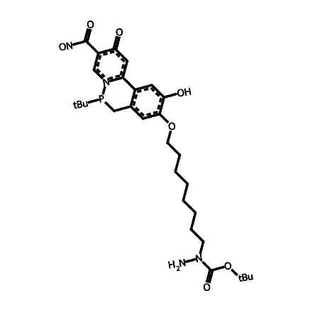 CC(C)(C)OC(=O)N(N)CCCCCCCCOc1cc2c(cc1O)-c1cc(=O)c(C(=O)N=O)cn1P(C(C)(C)C)C2